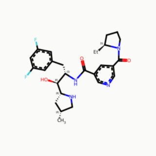 CC[C@H]1CCCN1C(=O)c1cncc(C(=O)N[C@@H](Cc2cc(F)cc(F)c2)[C@H](O)[C@H]2C[C@@H](C)CN2)c1